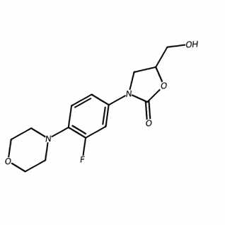 O=C1OC(CO)CN1c1ccc(N2CCOCC2)c(F)c1